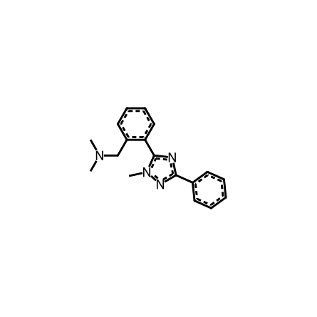 CN(C)Cc1ccccc1-c1nc(-c2ccccc2)nn1C